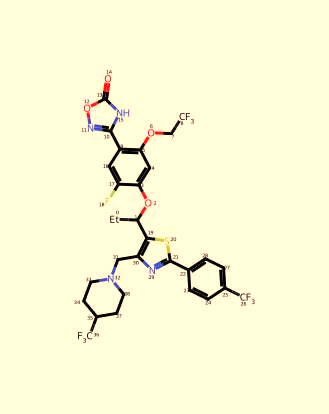 CCC(Oc1cc(OCC(F)(F)F)c(-c2noc(=O)[nH]2)cc1F)c1sc(-c2ccc(C(F)(F)F)cc2)nc1CN1CCC(C(F)(F)F)CC1